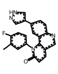 Cc1cc(-n2c(=O)ccc3cnc4ccc(-c5cn[nH]c5)cc4c32)ccc1F